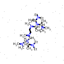 CCN(CC)[SiH](C)N([SiH2]N(C)C)[SiH2]N(C)CCN(C)[SiH](C)N([SiH](C)N(C)C)[SiH](C)N(CC)CC